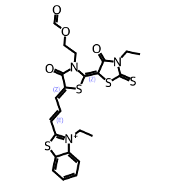 CCN1C(=O)/C(=c2/s/c(=C\C=C\c3sc4ccccc4[n+]3CC)c(=O)n2CCOC=O)SC1=S